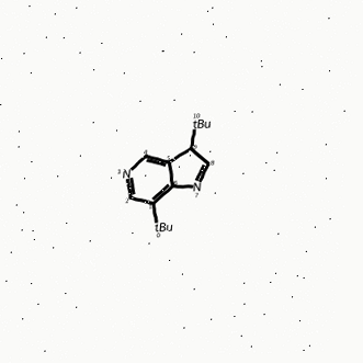 CC(C)(C)c1cncc2c1N=CC2C(C)(C)C